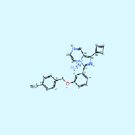 CC(C)(C)c1ccc(COc2cccc(C3=NC(C4=CC=C4)=C4C=NC=C[N+]34N)c2)cc1